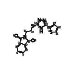 O=C1c2ccccc2C(=O)N1CCSc1nnc(-c2cccs2)[nH]1